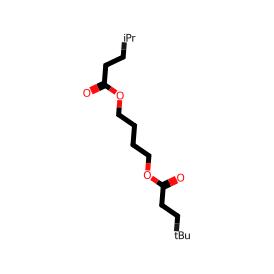 CC(C)CCC(=O)OCCCCOC(=O)CCC(C)(C)C